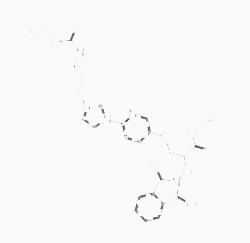 CC(C)(C)OC(=O)NCCC[n+]1ccn(-c2ccc(OCC(ON3C(=O)c4ccccc4C3=O)C(=O)OC(C)(C)C)cn2)c1